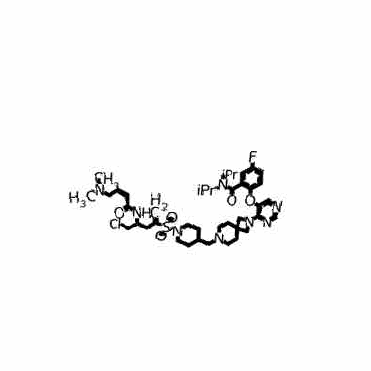 C=C(CC(CCl)NC(=O)/C=C\CN(C)C)S(=O)(=O)N1CCC(CN2CCC3(CC2)CN(c2ncncc2Oc2ccc(F)cc2C(=O)N(C(C)C)C(C)C)C3)CC1